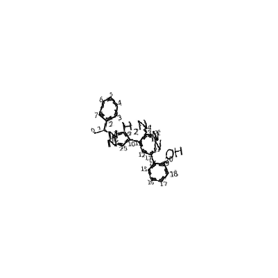 CC(c1ccccc1)n1cc(-c2cc(-c3ccccc3O)nnc2N)cn1